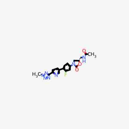 CC(=O)NC[C@H]1CN(c2ccc(-c3ccc(-c4nnn(C)n4)nc3)c(F)c2)C(=O)O1